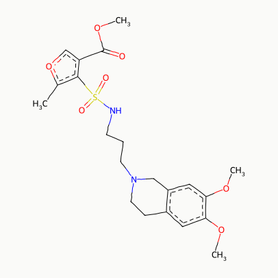 COC(=O)c1coc(C)c1S(=O)(=O)NCCCN1CCc2cc(OC)c(OC)cc2C1